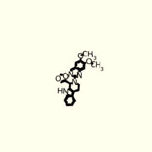 COc1cc2cnc(N3CCc4c([nH]c5ccccc45)C3C3=COCO3)nc2cc1OC